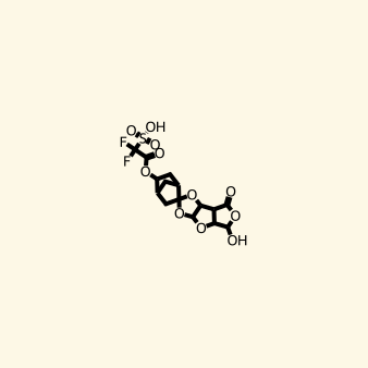 O=C1OC(O)C2OC3OC4(CC5CC4CC5OC(=O)C(F)(F)S(=O)(=O)O)OC3C12